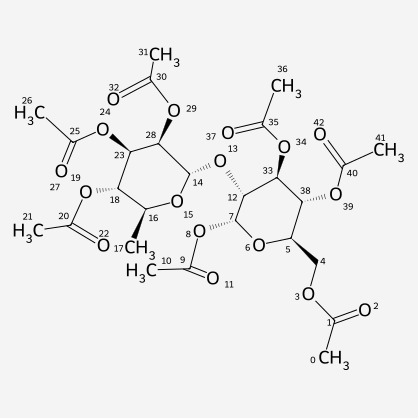 CC(=O)OC[C@H]1O[C@H](OC(C)=O)[C@H](O[C@@H]2O[C@@H](C)[C@H](OC(C)=O)[C@@H](OC(C)=O)[C@H]2OC(C)=O)[C@@H](OC(C)=O)[C@@H]1OC(C)=O